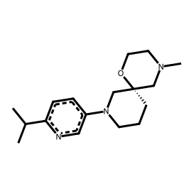 CC(C)c1ccc(N2CCC[C@]3(CN(C)CCO3)C2)cn1